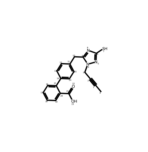 CC#CCn1nc(S)nc1Cc1ccc(-c2ccccc2C(=O)O)cc1